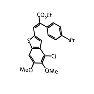 CCOC(=O)C(=Cc1cc2c(Cl)c(OC)c(OC)cc2s1)c1ccc(C(C)C)cc1